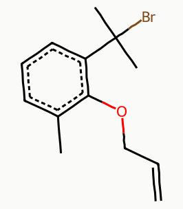 C=CCOc1c(C)cccc1C(C)(C)Br